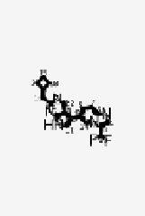 FC(F)c1cnc2ccc(-c3c[nH]c4nc(CC5CCC5)ncc34)cn12